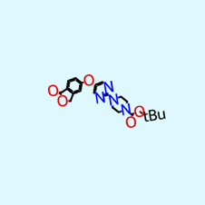 CC(C)(C)OC(=O)N1CCN(c2ncc(Oc3ccc4c(c3)COC4=O)cn2)CC1